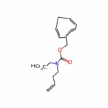 C=CCCN(CC(=O)O)C(=O)OCC1=CC=CCC=C1